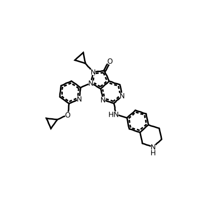 O=c1c2cnc(Nc3ccc4c(c3)CNCC4)nc2n(-c2cccc(OC3CC3)n2)n1C1CC1